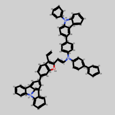 C=Cc1c(/C=C/N(c2ccc(-c3ccccc3)cc2)c2ccc(-c3ccc4c(c3)c3ccccc3n4-c3ccccc3)cc2)oc2cc(-c3cc4c5ccccc5n5c6ccccc6c(c3)c45)ccc12